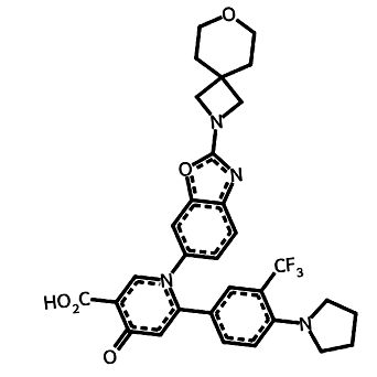 O=C(O)c1cn(-c2ccc3nc(N4CC5(CCOCC5)C4)oc3c2)c(-c2ccc(N3CCCC3)c(C(F)(F)F)c2)cc1=O